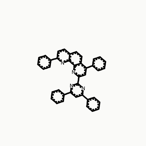 c1ccc(-c2cc(-c3ccccc3)nc(-c3cc(-c4ccccc4)c4ccc5ccc(-c6ccccc6)nc5c4n3)n2)cc1